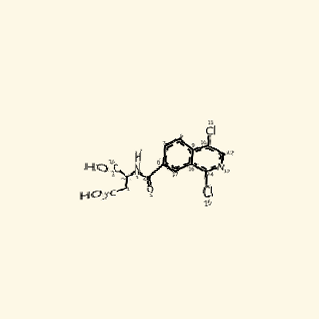 O=C(O)C[C@H](NC(=O)c1ccc2c(Cl)cnc(Cl)c2c1)C(=O)O